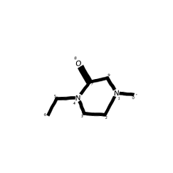 [CH2]N1CCN(CC)C(=O)C1